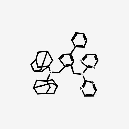 c1ccc(-c2ccc(CP(C34CC5CC(CC(C5)C3)C4)C34CC5CC(CC(C5)C3)C4)c(CP(c3ncccn3)c3ncccn3)c2)cc1